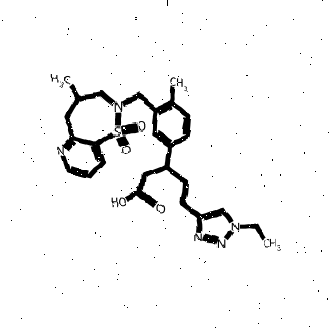 CCn1cc(CCC(CC(=O)O)c2ccc(C)c(CN3CC(C)Cc4ncccc4S3(=O)=O)c2)nn1